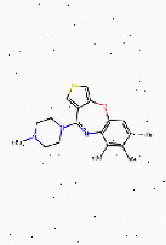 CCCCc1cc2c(c(CCCC)c1CCCC)N=C(N1CCN(CCCC)CC1)c1cscc1O2